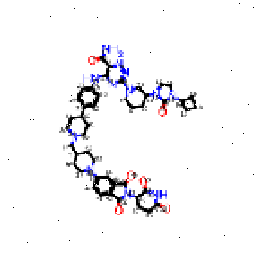 NC(=O)c1nnc(N2CCCC(N3CCN(C4CCC4)C3=O)C2)nc1Nc1ccc(C2CCN(CC3CCN(c4ccc5c(c4)C(=O)N(C4CCC(=O)NC4=O)C5=O)CC3)CC2)cc1